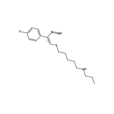 CCCNCCCCCS/C=C(\N=N)c1ccc(F)cc1